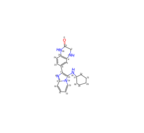 O=C1CNc2cc(-c3nc4ccccn4c3NC3CCCCC3)ccc2N1